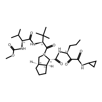 CCC[C@H](NC(=O)[C@@H]1[C@H]2CCC[C@H]2CN1C(=O)[C@@H](NC(=O)[C@@H](NC(=O)OC)C(C)C)C(C)(C)C)C(=O)C(=O)NC1CC1